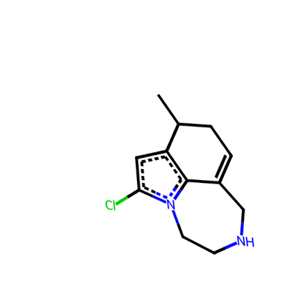 CC1CC=C2CNCCn3c(Cl)cc1c32